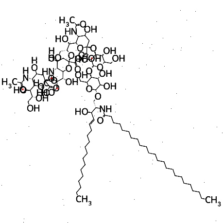 CCCCCCCCCCCCC/C=C/[C@@H](O)[C@H](CO[C@@H]1OC(CO)[C@@H](O[C@@H]2OC(CO)[C@H](O)[C@H](O[C@]3(C(=O)O)CC(O)[C@@H](NC(C)=O)C([C@H](O)[C@@H](CO)O[C@]4(C(=O)O)CC(O)[C@@H](NC(C)=O)C([C@H](O)[C@@H](CO)O[C@]5(C(=O)O)CC(O)[C@@H](NC(C)=O)C([C@H](O)[C@H](O)CO)O5)O4)O3)C2O)[C@H](O)C1O)NC(=O)CCCCCCCCCCCCCCCCCCCCCCC